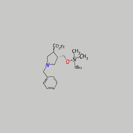 CCOC(=O)[C@@H]1CN(Cc2ccccc2)C[C@H]1CO[Si](C)(C)C(C)(C)C